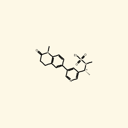 CCS(=O)(=O)N(C)[C@H](C)c1cncc(-c2ccc3c(c2)CCC(=O)N3C)c1